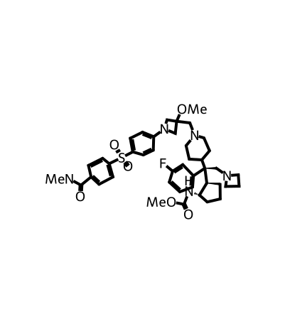 CNC(=O)c1ccc(S(=O)(=O)c2ccc(N3CC(CN4CCC([C@@](CN5CCC5)(c5cccc(F)c5)[C@H]5CCC[C@@H]5NC(=O)OC)CC4)(OC)C3)cc2)cc1